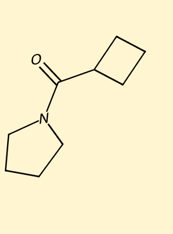 O=C(C1CCC1)N1CCCC1